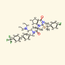 [2H]C([2H])(Sc1nc(=O)c2c(n1C([2H])([2H])C(=O)N(CCN(CC)CC)Cc1ccc(-c3ccc(C(F)(F)F)cc3)cc1)CCC2)c1ccc(F)cc1